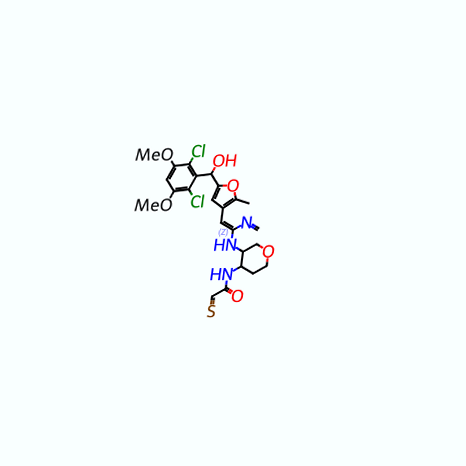 C=N/C(=C\c1cc(C(O)c2c(Cl)c(OC)cc(OC)c2Cl)oc1C)NC1COCCC1NC(=O)C=S